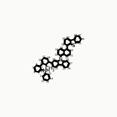 CC1C(c2ccccc2Nc2ccccc2)=CC=CC1c1ccc2c3ccccc3n(-c3cccc4c(-c5cccc6c5sc5ccccc56)cccc34)c2c1